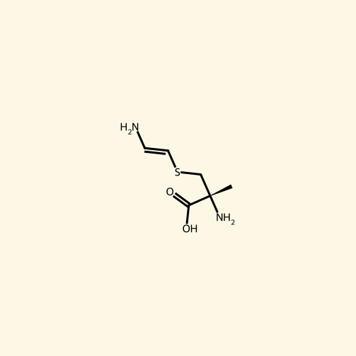 C[C@](N)(CSC=CN)C(=O)O